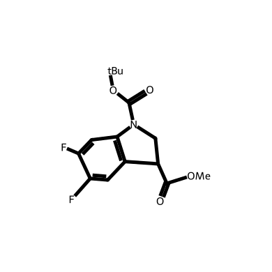 COC(=O)C1CN(C(=O)OC(C)(C)C)c2cc(F)c(F)cc21